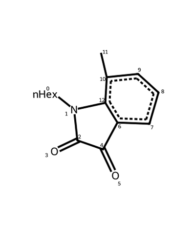 CCCCCCN1C(=O)C(=O)c2cccc(C)c21